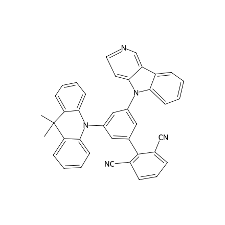 CC1(C)c2ccccc2N(c2cc(-c3c(C#N)cccc3C#N)cc(-n3c4ccccc4c4cnccc43)c2)c2ccccc21